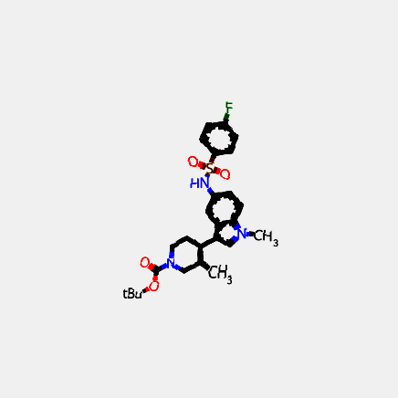 CC1CN(C(=O)OC(C)(C)C)CCC1c1cn(C)c2ccc(NS(=O)(=O)c3ccc(F)cc3)cc12